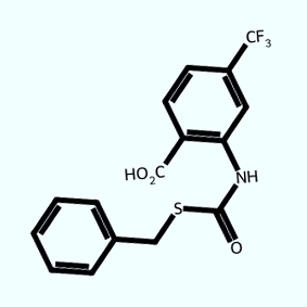 O=C(Nc1cc(C(F)(F)F)ccc1C(=O)O)SCc1ccccc1